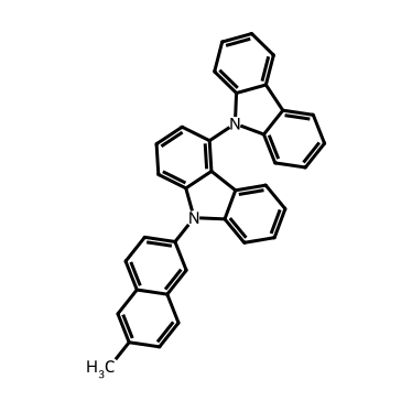 Cc1ccc2cc(-n3c4ccccc4c4c(-n5c6ccccc6c6ccccc65)cccc43)ccc2c1